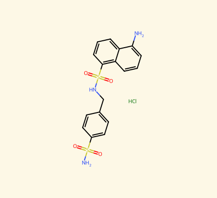 Cl.Nc1cccc2c(S(=O)(=O)NCc3ccc(S(N)(=O)=O)cc3)cccc12